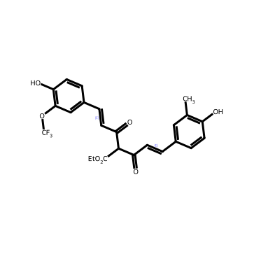 CCOC(=O)C(C(=O)/C=C/c1ccc(O)c(C)c1)C(=O)/C=C/c1ccc(O)c(OC(F)(F)F)c1